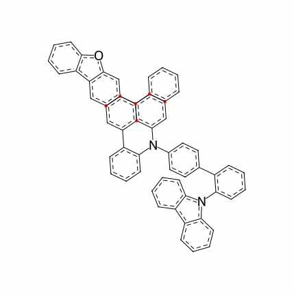 c1ccc(-c2cccc(-c3ccccc3N(c3ccc(-c4ccccc4-n4c5ccccc5c5ccccc54)cc3)c3cccc(-c4ccc5c(c4)oc4ccccc45)c3)c2)cc1